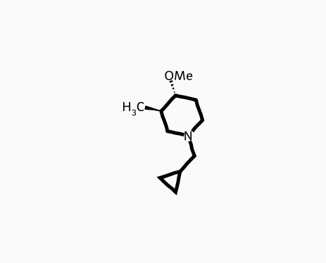 CO[C@@H]1CCN(CC2CC2)C[C@H]1C